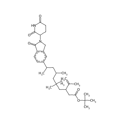 C=C(C)C(CC(=O)OC(C)(C)C)CC(C)(C)CC(C)CC(C)c1ccc2c(c1)CN(C1CCC(=O)NC1=O)C2=O